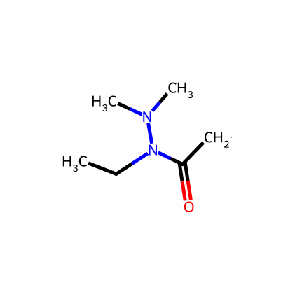 [CH2]C(=O)N(CC)N(C)C